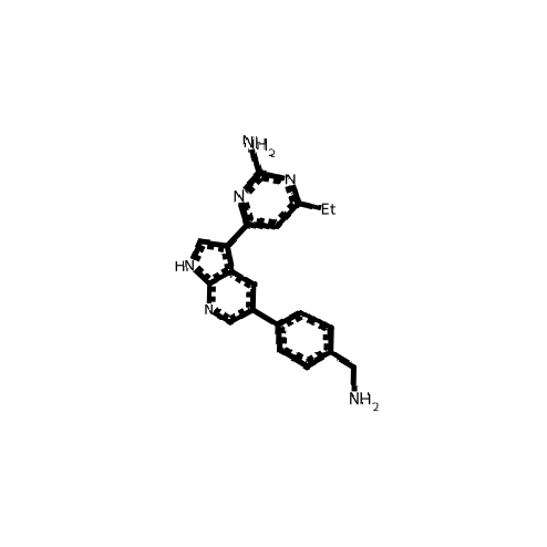 CCc1cc(-c2c[nH]c3ncc(-c4ccc(CN)cc4)cc23)nc(N)n1